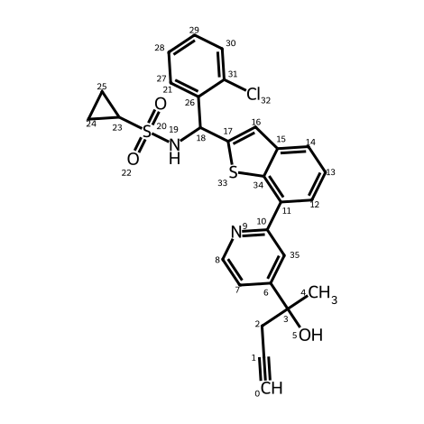 C#CCC(C)(O)c1ccnc(-c2cccc3cc(C(NS(=O)(=O)C4CC4)c4ccccc4Cl)sc23)c1